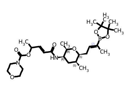 C/C(=C\C[C@@H]1O[C@H](C)[C@H](NC(=O)C=CC(C)OC(=O)N2CCOCC2)C[C@@H]1C)B1OC(C)(C)C(C)(C)O1